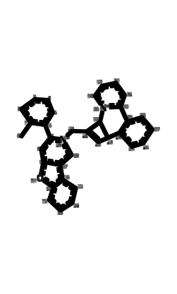 Cc1ccccc1-c1cc2oc3ccccc3c2c[n+]1CC1=CC2c3ccccc3-c3cccc[n+]3C12